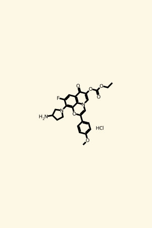 CCOC(=O)Oc1cn2c3c(c(N4CCC(N)C4)c(F)cc3c1=O)OC(c1ccc(OC)cc1)=C2.Cl